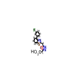 O=C(O)Cc1nnc(Cc2nc3c(-c4cccc(F)c4)cccc3s2)o1